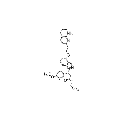 CCOC(=O)CC(c1ccc(OC)nc1)n1ncc2c(OCCc3ccc4c(n3)NCCC4)cccc21